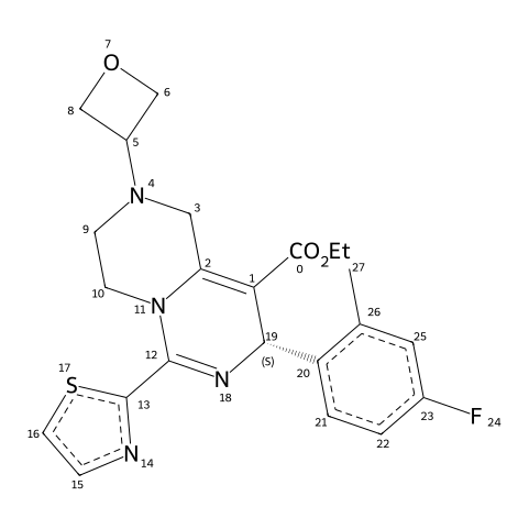 CCOC(=O)C1=C2CN(C3COC3)CCN2C(c2nccs2)=N[C@H]1c1ccc(F)cc1C